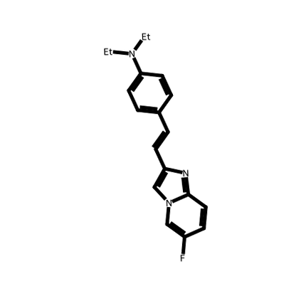 CCN(CC)c1ccc(C=Cc2cn3cc(F)ccc3n2)cc1